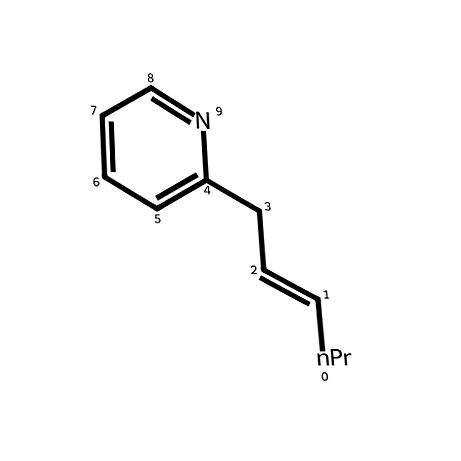 CCCC=CCc1ccccn1